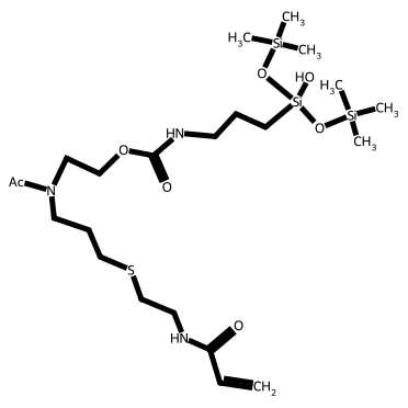 C=CC(=O)NCCSCCCN(CCOC(=O)NCCC[Si](O)(O[Si](C)(C)C)O[Si](C)(C)C)C(C)=O